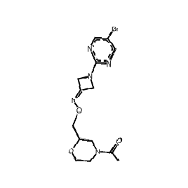 CC(=O)N1CCOC(CON=C2CN(c3ncc(Br)cn3)C2)C1